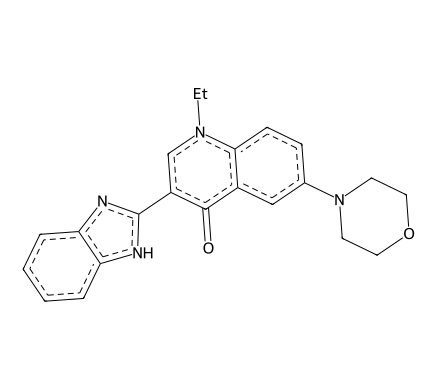 CCn1cc(-c2nc3ccccc3[nH]2)c(=O)c2cc(N3CCOCC3)ccc21